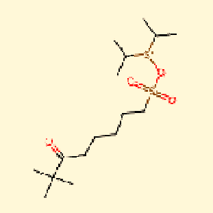 CC(C)[S+](OS(=O)(=O)CCCCCC(=O)C(C)(C)C)C(C)C